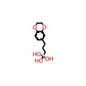 O[Si](O)(O)CCCc1ccc2c(c1)OCCO2